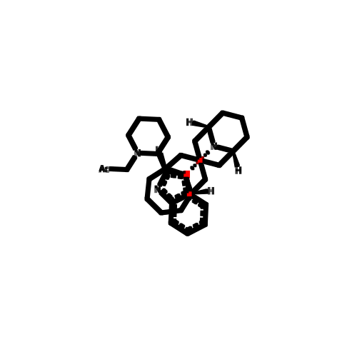 CC(=O)CN1CCCC[C@H]1c1nc2ccccc2n1[C@H]1C[C@H]2CCC[C@@H](C1)N2[C@@H]1C[C@@H]2CCCC[C@@H](C2)C1